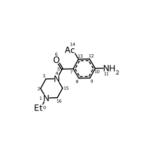 CCN1CCN(C(=O)c2ccc(N)cc2C(C)=O)CC1